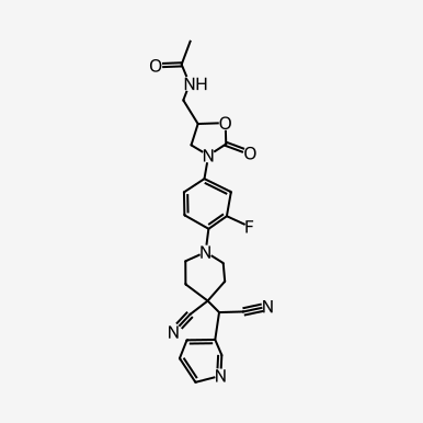 CC(=O)NCC1CN(c2ccc(N3CCC(C#N)(C(C#N)c4cccnc4)CC3)c(F)c2)C(=O)O1